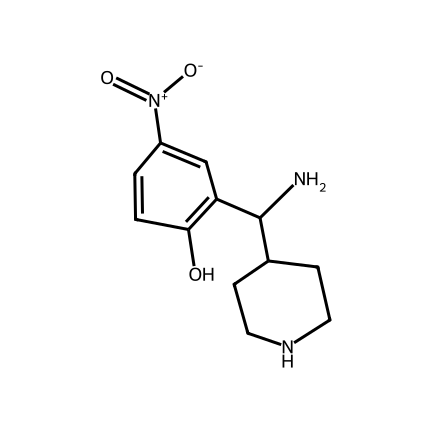 NC(c1cc([N+](=O)[O-])ccc1O)C1CCNCC1